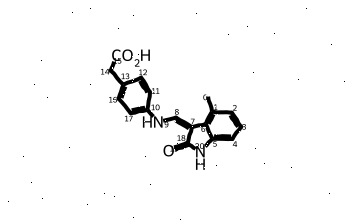 Cc1cccc2c1/C(=C/Nc1ccc(CC(=O)O)cc1)C(=O)N2